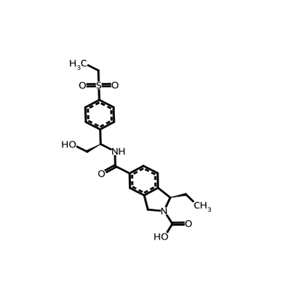 CC[C@@H]1c2ccc(C(=O)N[C@@H](CO)c3ccc(S(=O)(=O)CC)cc3)cc2CN1C(=O)O